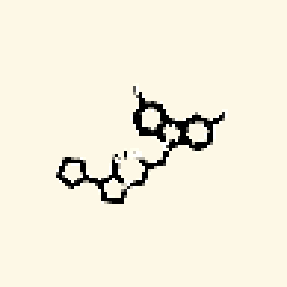 O=C1C(C2CCCC2)CCN1CC(O)Cn1c2ccc(F)cc2c2cc(F)ccc21